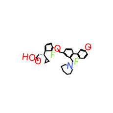 COc1ccc(F)c(-c2ccc(COc3cccc([C@@H](CC(=O)O)C4CC4)c3F)cc2CN2CCCCCC2)c1